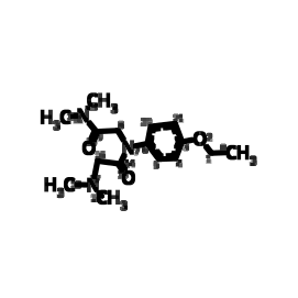 CCOc1ccc(N(CC(=O)N(C)C)C(=O)CN(C)C)cc1